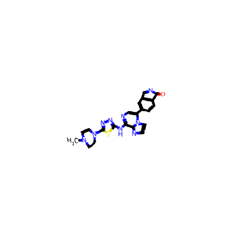 CN1CCN(c2nnc(Nc3ncc(-c4ccc5c(c4)C=NC5=O)n4ccnc34)s2)CC1